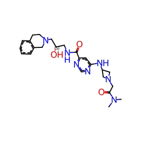 CN(C)C(=O)CN1CC(Nc2cc(C(=O)NC[C@H](O)CN3CCc4ccccc4C3)ncn2)C1